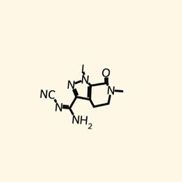 CN1CCc2c(/C(N)=N\C#N)nn(I)c2C1=O